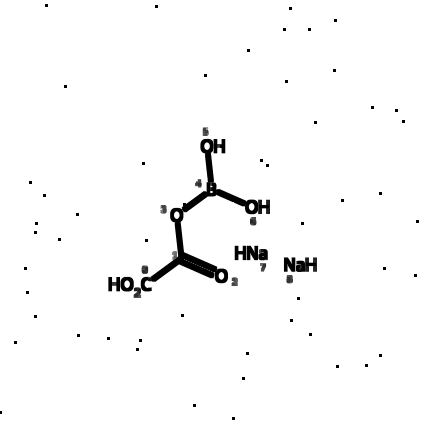 O=C(O)C(=O)OB(O)O.[NaH].[NaH]